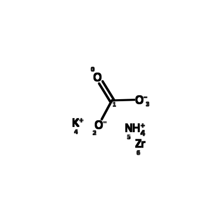 O=C([O-])[O-].[K+].[NH4+].[Zr]